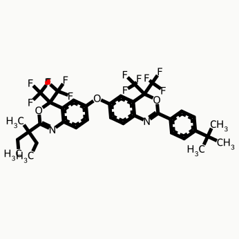 CCC(C)(CC)C1=Nc2ccc(Oc3ccc4c(c3)C(C(F)(F)F)(C(F)(F)F)OC(c3ccc(C(C)(C)C)cc3)=N4)cc2C(C(F)(F)F)(C(F)(F)F)O1